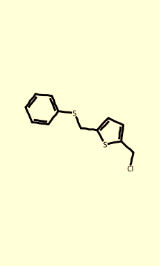 ClCc1ccc(CSc2ccccc2)s1